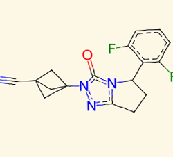 N#CC12CC(n3nc4n(c3=O)C(c3c(F)cccc3F)CC4)(C1)C2